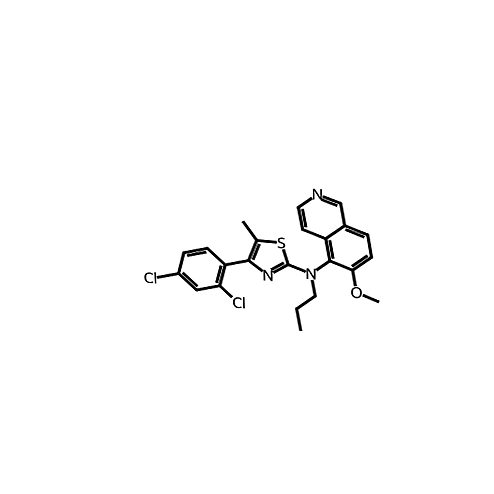 CCCN(c1nc(-c2ccc(Cl)cc2Cl)c(C)s1)c1c(OC)ccc2cnccc12